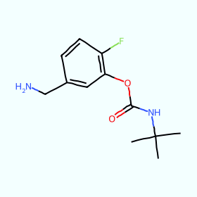 CC(C)(C)NC(=O)Oc1cc(CN)ccc1F